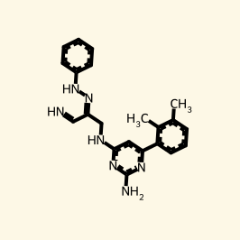 Cc1cccc(-c2cc(NC/C(C=N)=N/Nc3ccccc3)nc(N)n2)c1C